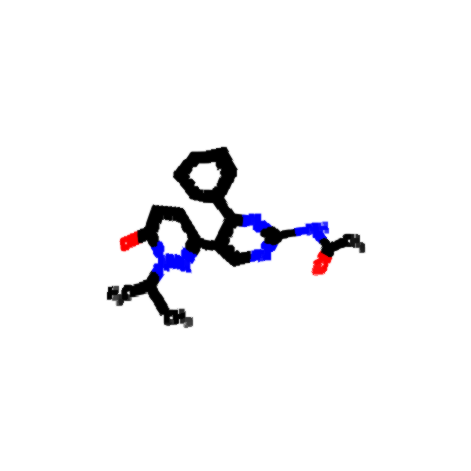 CC(=O)Nc1ncc(-c2ccc(=O)n(C(C)C)n2)c(-c2ccccc2)n1